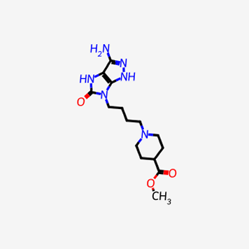 COC(=O)C1CCN(CCCCn2c(=O)[nH]c3c(N)n[nH]c32)CC1